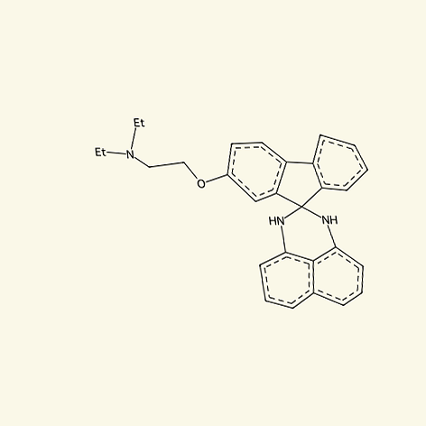 CCN(CC)CCOc1ccc2c(c1)C1(Nc3cccc4cccc(c34)N1)c1ccccc1-2